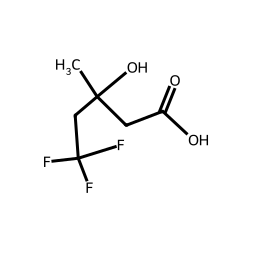 CC(O)(CC(=O)O)CC(F)(F)F